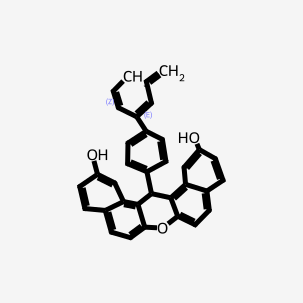 C=C/C=C(\C=C/C)c1ccc(C2c3c(ccc4ccc(O)cc34)Oc3ccc4ccc(O)cc4c32)cc1